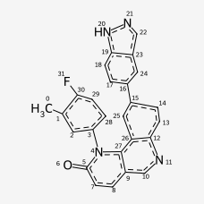 Cc1cc(-n2c(=O)ccc3cnc4ccc(-c5ccc6[nH]ncc6c5)cc4c32)ccc1F